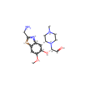 COc1cc2sc(CN)nc2cc1O[C@@H](C=O)N1CCN(C)CC1